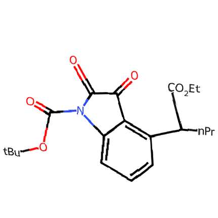 CCCC(C(=O)OCC)c1cccc2c1C(=O)C(=O)N2C(=O)OC(C)(C)C